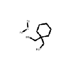 CCOCC.OCC1(CO)CCCCC1